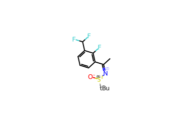 C/C(=N/[S@@+]([O-])C(C)(C)C)c1cccc(C(F)F)c1F